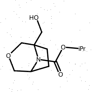 CC(C)OC(=O)N1C2CCC1(CO)COC2